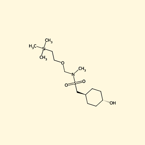 CN(COCC[Si](C)(C)C)S(=O)(=O)C[C@H]1CC[C@H](O)CC1